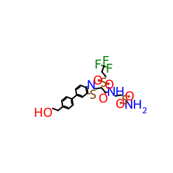 NS(=O)(=O)CCNC(=O)C(c1nc2ccc(-c3ccc(CCO)cc3)cc2s1)S(=O)(=O)CCC(F)(F)F